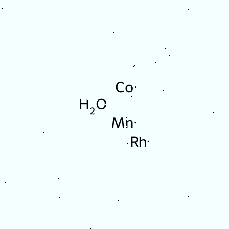 O.[Co].[Mn].[Rh]